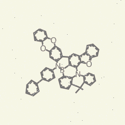 CC1(C)c2ccccc2N2c3c(cccc31)B1c3c(cc4c(oc5ccccc54)c32)-c2cc3c(cc2N1c1ccc(-c2ccccc2)cc1)Oc1ccccc1O3